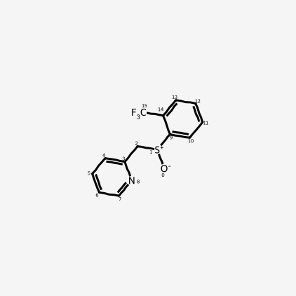 [O-][S+](Cc1ccccn1)c1ccccc1C(F)(F)F